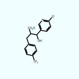 O=C(O)C(Cc1ccc(C(F)(F)F)cc1)C(O)c1ccc(Cl)nc1